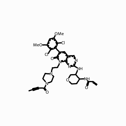 C=CC(=O)NC1CCOCC1Nc1ncc2cc(-c3c(Cl)c(OC)cc(OC)c3Cl)c(=O)n(CCN3CCN(C(=O)C#CC)CC3)c2n1